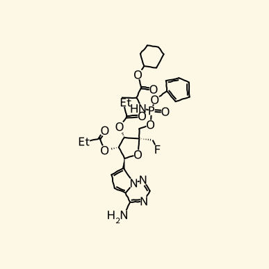 CCC(=O)O[C@H]1[C@H](c2ccc3c(N)ncnn23)O[C@](CF)(COP(=O)(NC(C)C(=O)OC2CCCCC2)Oc2ccccc2)[C@H]1OC(=O)CC